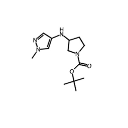 Cn1cc(NC2CCN(C(=O)OC(C)(C)C)C2)cn1